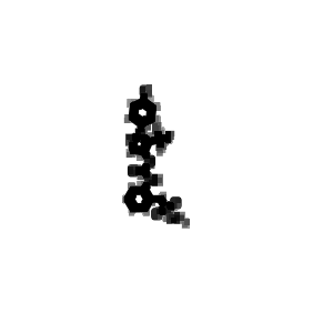 NS(=O)(=O)Cc1ccccc1NC(=O)Oc1cnn(-c2ccc(Cl)cc2)c1C(F)(F)F